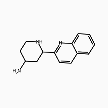 NC1CCNC(c2ccc3ccccc3n2)C1